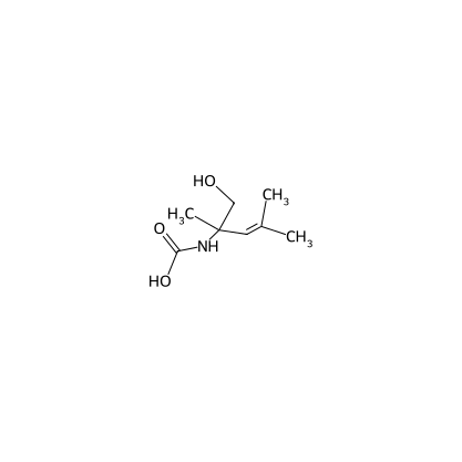 CC(C)=CC(C)(CO)NC(=O)O